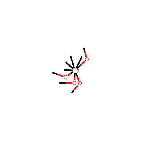 C[O][Ta]([CH3])([CH3])([CH3])([CH3])([O]C)([O]C)[O]C